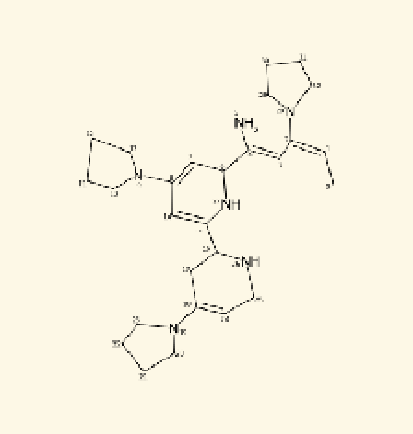 C/C=C(\C=C(/N)C1C=C(N2CCCC2)C=C(C2CC(N3CCCC3)=CCN2)N1)N1CCCC1